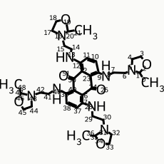 CC1OCCN1CCNc1ccc(NCCN2CCOC2C)c2c1C(=O)c1c(NCCN3CCOC3C)ccc(NCCN3CCOC3C)c1C2=O